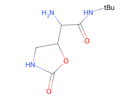 CC(C)(C)NC(=O)C(N)C1CNC(=O)O1